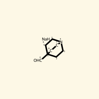 O=CC12CCN(CC1)CC2.[NaH]